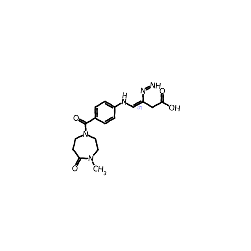 CN1CCN(C(=O)c2ccc(N/C=C(/CC(=O)O)N=N)cc2)CCC1=O